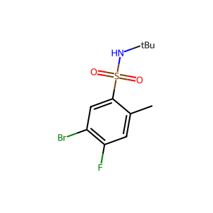 Cc1cc(F)c(Br)cc1S(=O)(=O)NC(C)(C)C